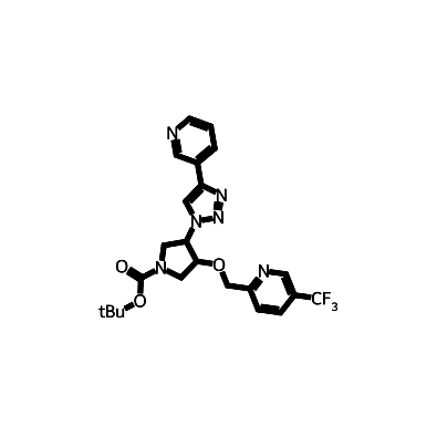 CC(C)(C)OC(=O)N1CC(OCc2ccc(C(F)(F)F)cn2)C(n2cc(-c3cccnc3)nn2)C1